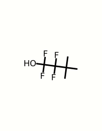 CC(C)(C)C(F)(F)C(O)(F)F